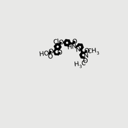 COc1ccc(-c2cccc(NC(=O)c3ccc(Oc4cc5c(cc4Cl)C(OC(=O)O)CCO5)cc3)n2)c(OC)n1